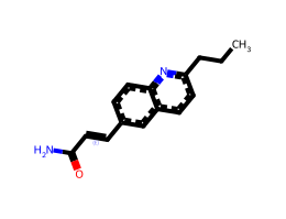 CCCc1ccc2cc(/C=C/C(N)=O)ccc2n1